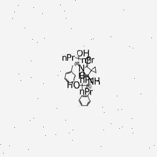 CCCC(O)(CCC)[C@@H](Cc1ccccc1)NC(=O)C1(C(=O)N[C@H](Cc2ccccc2)C(O)(CCC)CCC)CC1